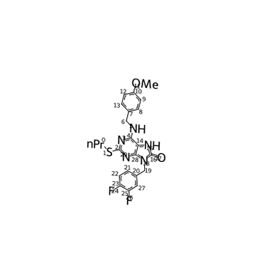 CCCSc1nc(NCc2ccc(OC)cc2)c2[nH]c(=O)n(Cc3ccc(F)c(F)c3)c2n1